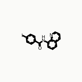 O=C(Nc1cccc2cccnc12)c1ccc(I)cc1